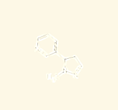 CN1N=CCC1c1cccnc1